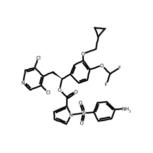 Nc1ccc(S(=O)(=O)n2cccc2C(=O)O[C@@H](Cc2c(Cl)cncc2Cl)c2ccc(OC(F)F)c(OCC3CC3)c2)cc1